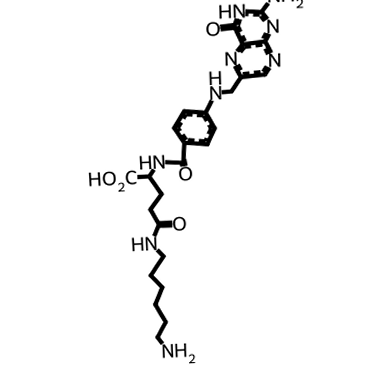 NCCCCCCNC(=O)CCC(NC(=O)c1ccc(NCc2cnc3nc(N)[nH]c(=O)c3n2)cc1)C(=O)O